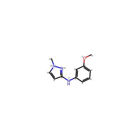 COc1cccc(Nc2ccn(C)n2)c1